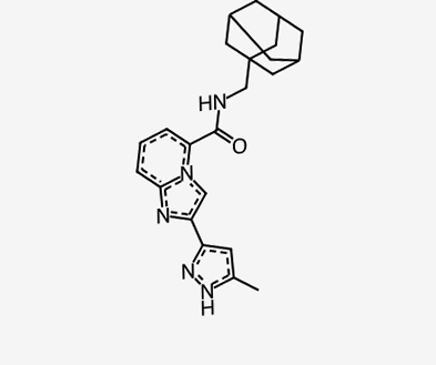 Cc1cc(-c2cn3c(C(=O)NCC45CC6CC(CC(C6)C4)C5)cccc3n2)n[nH]1